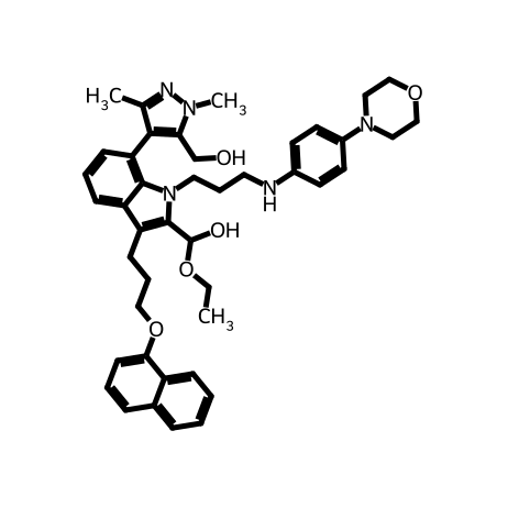 CCOC(O)c1c(CCCOc2cccc3ccccc23)c2cccc(-c3c(C)nn(C)c3CO)c2n1CCCNc1ccc(N2CCOCC2)cc1